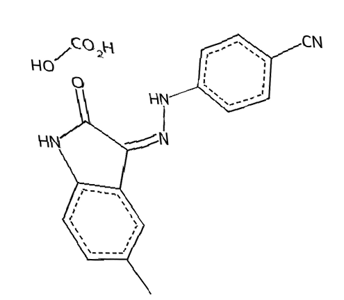 Cc1ccc2c(c1)/C(=N/Nc1ccc(C#N)cc1)C(=O)N2.O=C(O)O